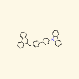 C1=CC2c3ccccc3N(c3ccc(-c4ccc(Cc5cc6ccccc6c6ccccc56)cc4)cc3)C2C=C1